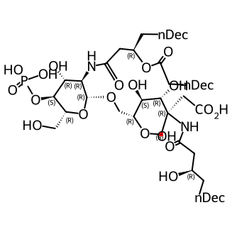 CCCCCCCCCCCC(=O)O[C@H](CCCCCCCCCCC)CC(=O)N[C@H]1[C@H](OC[C@H]2O[C@H](O)[C@](CC(=O)O)(NC(=O)C[C@H](O)CCCCCCCCCCC)[C@@H](O)[C@@H]2O)O[C@H](CO)[C@@H](OP(=O)(O)O)[C@@H]1O